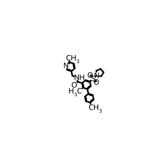 Cc1ccc(-c2cc(S(=O)(=O)N3CCCC3)cc(C(=O)NCc3ccc(C)nc3)c2C)cc1